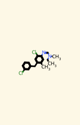 CCN(C)/C=N\c1cc(C)c(Cc2cccc(Cl)c2)cc1Cl